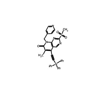 Cc1c(C#C[Si](C(C)C)(C(C)C)C(C)C)c2cnc(S(C)(=O)=O)nc2n(Cc2ccncc2)c1=O